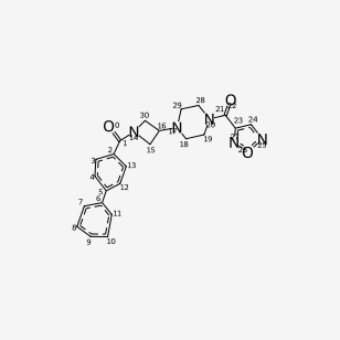 O=C(c1ccc(-c2ccccc2)cc1)N1CC(N2CCN(C(=O)c3cnon3)CC2)C1